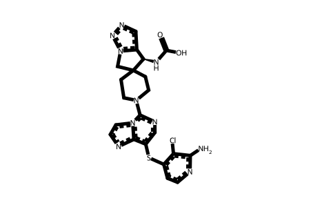 Nc1nccc(Sc2cnc(N3CCC4(CC3)Cn3nncc3[C@H]4NC(=O)O)n3ccnc23)c1Cl